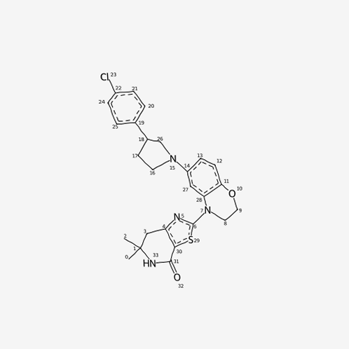 CC1(C)Cc2nc(N3CCOc4ccc(N5CCC(c6ccc(Cl)cc6)C5)cc43)sc2C(=O)N1